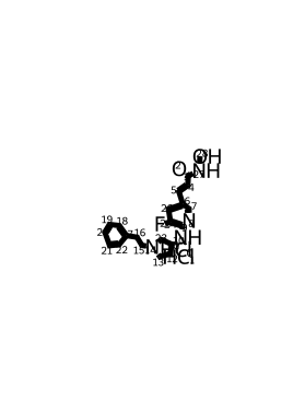 Cl.Cl.O=C(C=Cc1cnc(N[C@@H]2CCN(CCc3ccccc3)C2)c(F)c1)NO